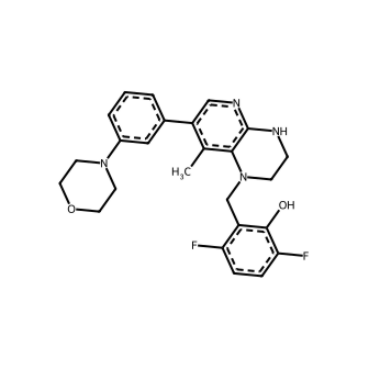 Cc1c(-c2cccc(N3CCOCC3)c2)cnc2c1N(Cc1c(F)ccc(F)c1O)CCN2